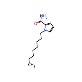 CCCCCCCCn1cccc1C(N)=O